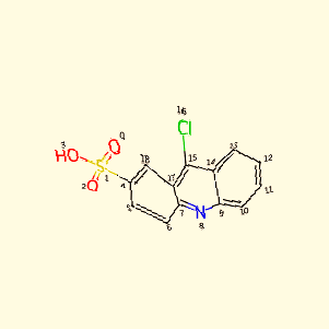 O=S(=O)(O)c1ccc2nc3ccccc3c(Cl)c2c1